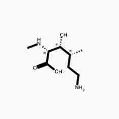 CN[C@@H](C(=O)O)[C@H](O)[C@H](C)CCN